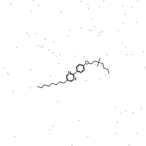 CCCCCCCCc1cnc(-c2ccc(OCCC(C)(C)CCCC)cc2)nc1